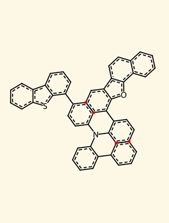 c1ccc(-c2ccccc2N(c2ccc(-c3cccc4c3sc3ccccc34)cc2)c2ccccc2-c2cccc3c2oc2c4ccccc4ccc32)cc1